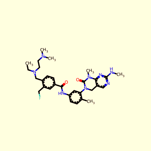 CCN(CCN(C)C)Cc1ccc(C(=O)Nc2ccc(C)c(N3Cc4cnc(NC)nc4N(C)C3=O)c2)cc1CF